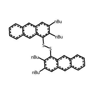 CCCCc1cc2cc3ccccc3cc2c(SSc2c(CCCC)c(CCCC)cc3cc4ccccc4cc23)c1CCCC